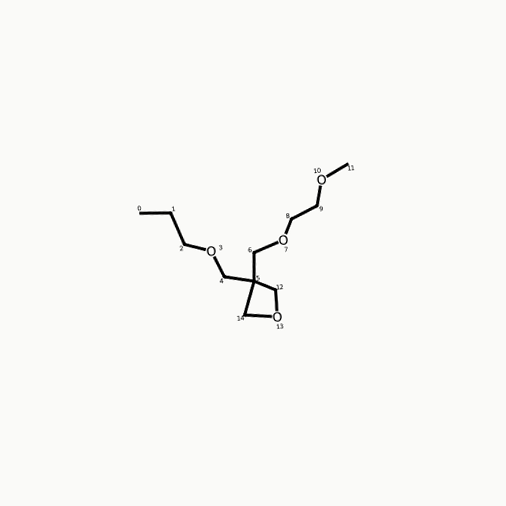 CCCOCC1(COCCOC)COC1